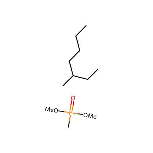 COP(C)(=O)OC.[CH2]C(CC)CCCC